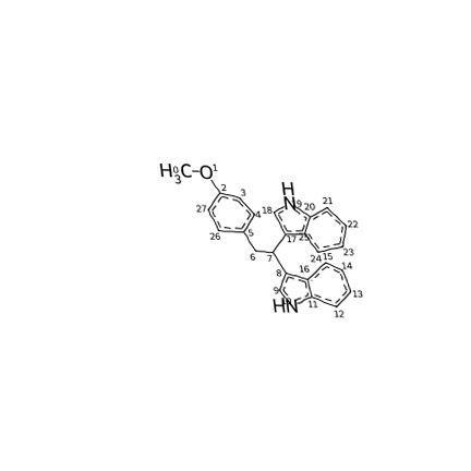 COc1ccc(CC(c2c[nH]c3ccccc23)c2c[nH]c3ccccc23)cc1